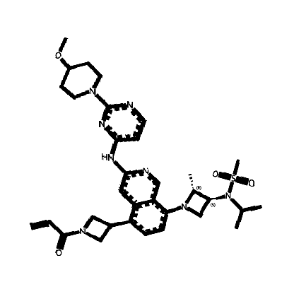 C=CC(=O)N1CC(c2ccc(N3C[C@H](N(C(C)C)S(C)(=O)=O)[C@H]3C)c3cnc(Nc4ccnc(N5CCC(OC)CC5)n4)cc23)C1